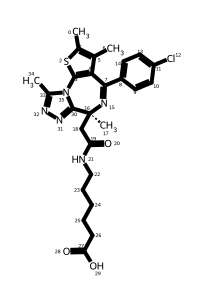 Cc1sc2c(c1C)C(c1ccc(Cl)cc1)=N[C@@](C)(CC(=O)NCCCCCC(=O)O)c1nnc(C)n1-2